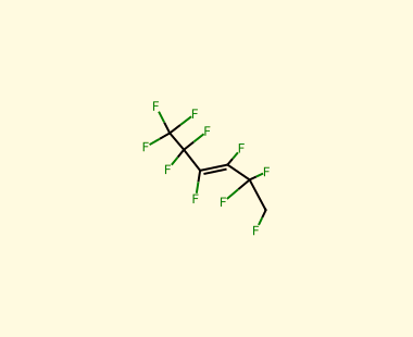 FCC(F)(F)C(F)=C(F)C(F)(F)C(F)(F)F